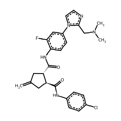 C=C1C[C@H](C(=O)Nc2ccc(Cl)cc2)[C@@H](C(=O)Nc2ccc(-n3ccnc3CN(C)C)cc2F)C1